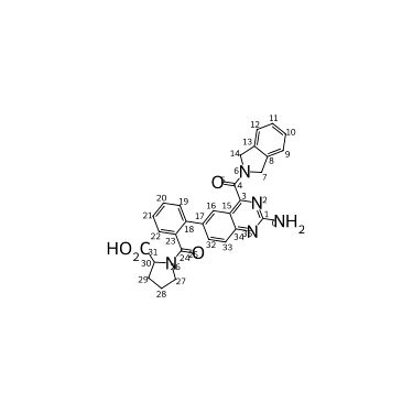 Nc1nc(C(=O)N2Cc3ccccc3C2)c2cc(-c3ccccc3C(=O)N3CCCC3C(=O)O)ccc2n1